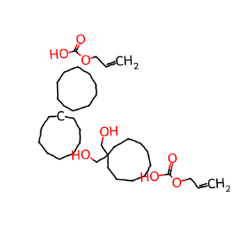 C1CCCCCCCCC1.C1CCCCCCCCC1.C=CCOC(=O)O.C=CCOC(=O)O.OCC1(CO)CCCCCCCCC1